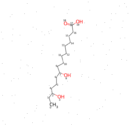 CCC(O)CCCC(O)CCCCCCCCC(=O)O